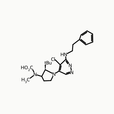 CN(C(=O)O)C1CCN(c2cnnc(NCCc3ccccc3)c2Cl)[C@@H]1C(C)(C)C